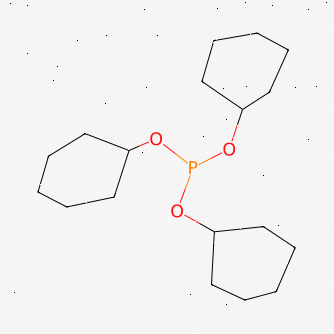 C1CCC(OP(OC2CCCCC2)OC2CCCCC2)CC1